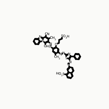 Cc1cc(N=Nc2c(C)c(C#N)c3nc4ccccc4n3c2O)c(OCCCS(=O)(=O)O)cc1N=Nc1nc(-c2ccccc2)c(N=Nc2ccc3cccc(S(=O)(=O)O)c3c2)s1